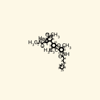 CCNC(=O)c1cc2c(-c3cc(C)cc(Oc4c(C)cc(NC(=O)CCCN5CCCC5)cc4C)c3)cn(C)c(=O)c2[nH]1